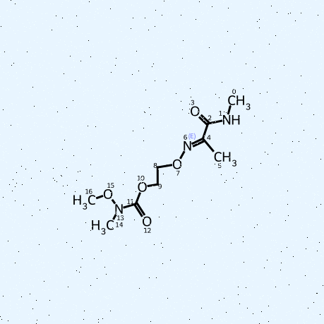 CNC(=O)/C(C)=N/OCCOC(=O)N(C)OC